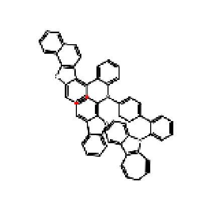 C1#Cc2c(c3ccccc3n2-c2ccccc2C2=CC=C(N(c3ccccc3-c3cccc4oc5c6ccccc6ccc5c34)c3cccc4c3oc3ccccc34)CC2)C=CC1